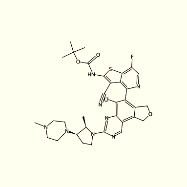 C[C@@H]1[C@H](N2CCN(C)CC2)CCN1c1ncc2c3c(c(-c4ncc(F)c5sc(NC(=O)OC(C)(C)C)c(C#N)c45)c(Cl)c2n1)COC3